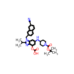 CC(C)c1nc2c(OC(=O)O)cc(NC3CCN(C(=O)OC(C)(C)C)CC3)cc2n1Cc1ccc2ccc(C#N)cc2c1